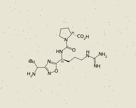 CCC(C)C(N)c1noc([C@H](CCCNC(=N)N)NC(=O)N2CCC[C@@H]2C(=O)O)n1